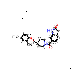 N#Cc1cc(C(F)(F)F)ccc1OCC1CCN(C(=O)c2ccc3c(c2)NC(=O)C3)CC1